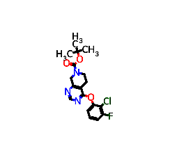 CC(C)(C)OC(=O)N1CCc2c(ncnc2Oc2cccc(F)c2Cl)C1